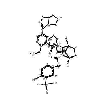 COc1ncc(C2=NOC3COCC23)cc1C(=O)N[C@H]1[C@@H](C(=O)Nc2ccc(F)c(C(F)(F)F)c2)[C@H]2CC[C@@H]1/C2=C\C1CCCC1